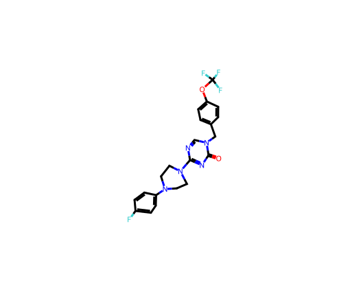 O=c1nc(N2CCN(c3ccc(F)cc3)CC2)ncn1Cc1ccc(OC(F)(F)F)cc1